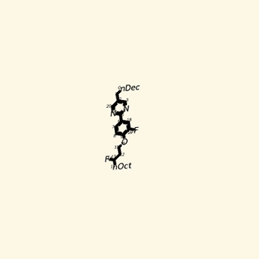 CCCCCCCCCCCc1cnc(-c2ccc(OCCC(F)CCCCCCCC)c(F)c2)nc1